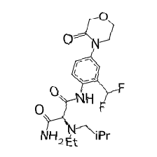 CCN(CC(C)C)[C@@H](C(N)=O)C(=O)Nc1ccc(N2CCOCC2=O)cc1C(F)F